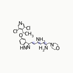 CC(Oc1ccc2[nH]nc(/C=C/C(N)=C/C=C(\N)CN3CCOCC3)c2c1)c1c(Cl)cncc1Cl